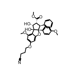 COC(=O)[C@H]1[C@@H](O)[C@@]2(O)c3c(OC)cc(OCCCC#N)cc3O[C@@]2(c2ccc(OC)cc2)[C@@H]1c1ccccc1